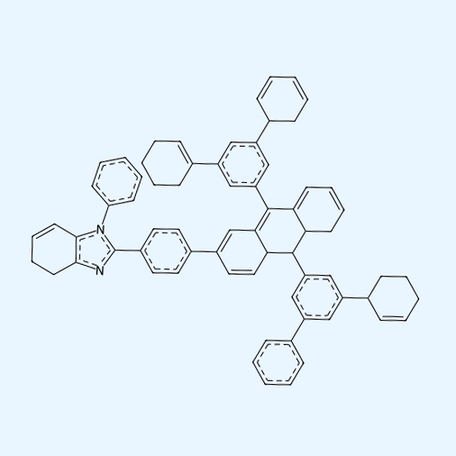 C1=CCC(c2cc(C3=CCCCC3)cc(C3=C4C=C(c5ccc(-c6nc7c(n6-c6ccccc6)C=CCC7)cc5)C=CC4C(c4cc(-c5ccccc5)cc(C5C=CCCC5)c4)C4CC=CC=C34)c2)C=C1